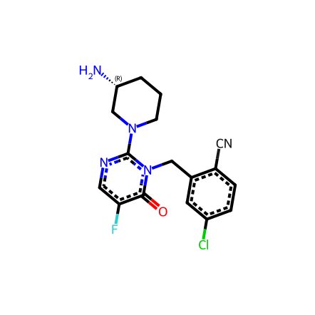 N#Cc1ccc(Cl)cc1Cn1c(N2CCC[C@@H](N)C2)ncc(F)c1=O